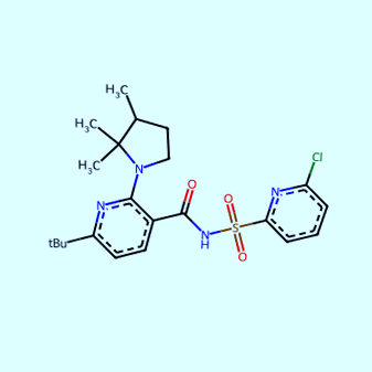 CC1CCN(c2nc(C(C)(C)C)ccc2C(=O)NS(=O)(=O)c2cccc(Cl)n2)C1(C)C